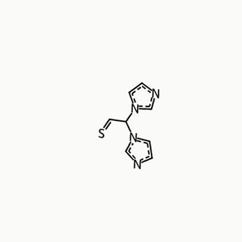 S=CC(n1ccnc1)n1ccnc1